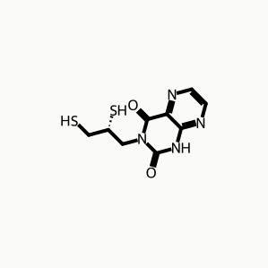 O=c1[nH]c2nccnc2c(=O)n1C[C@@H](S)CS